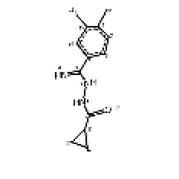 Cc1ccc(C(=N)NNC(=O)C2CC2)cc1I